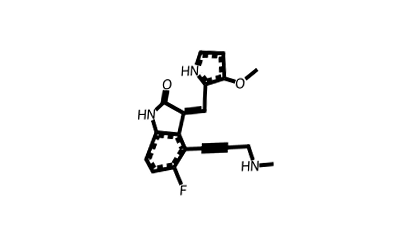 CNCC#Cc1c(F)ccc2c1/C(=C/c1[nH]ccc1OC)C(=O)N2